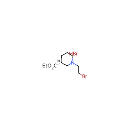 Br.CCOC(=O)[C@@H]1CCCN(CCBr)C1